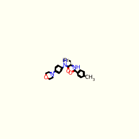 Cc1ccc(C(=O)N[C@@H](CC(C)C)C(=O)Nc2ccc(N3CCOCC3)cc2)cc1